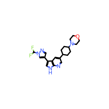 FC(F)n1cc(-c2c[nH]c3ncc(C4CCC(N5CCOCC5)CC4)cc23)cn1